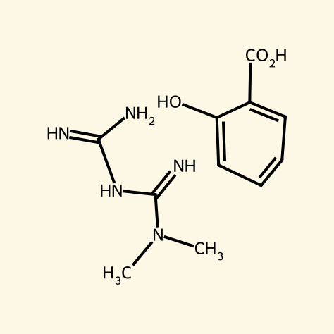 CN(C)C(=N)NC(=N)N.O=C(O)c1ccccc1O